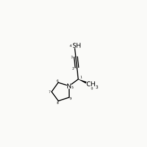 C[C@H](C#CS)N1CCCC1